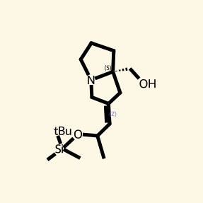 CC(/C=C1\CN2CCC[C@@]2(CO)C1)O[Si](C)(C)C(C)(C)C